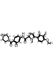 Cn1c(-c2ccc(OCF)c(F)c2F)cnc1C(=O)Nc1ccc(C(=O)N2CCNCC2)c(Cl)c1